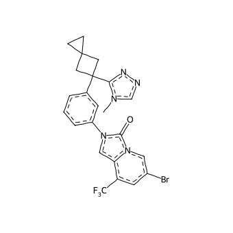 Cn1cnnc1C1(c2cccc(-n3cc4c(C(F)(F)F)cc(Br)cn4c3=O)c2)CC2(CC2)C1